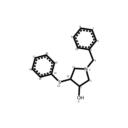 OC1CN(Cc2ccccc2)CC1Sc1ccccc1